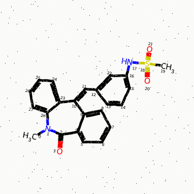 CN1C(=O)c2ccccc2C(=Cc2cccc(NS(C)(=O)=O)c2)c2ccccc21